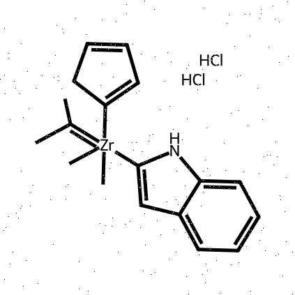 C[C](C)=[Zr]([CH3])([CH3])([C]1=CC=CC1)[c]1cc2ccccc2[nH]1.Cl.Cl